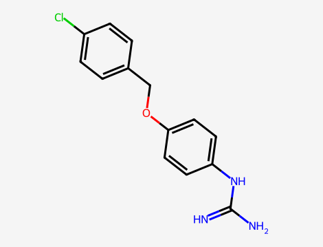 N=C(N)Nc1ccc(OCc2ccc(Cl)cc2)cc1